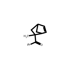 CC(C)C(=O)C1(C)CC2C=CC1C2